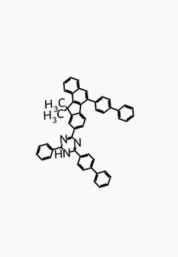 CC1(C)c2cc(C3=NC(c4ccccc4)NC(c4ccc(-c5ccccc5)cc4)=N3)ccc2-c2c(-c3ccc(-c4ccccc4)cc3)cc3ccccc3c21